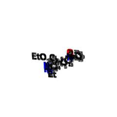 CCOC(=O)C[C@H](c1ccc2c(c1)C1CCC(C2)N1C(=O)c1ccccc1)c1ccc2c(nnn2CC)c1C